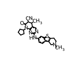 CC1c2cnc(Nc3ccc4c5c(sc4c3)CCN(C)C5)nc2N(C2CCCC2)C(=O)C1C#N